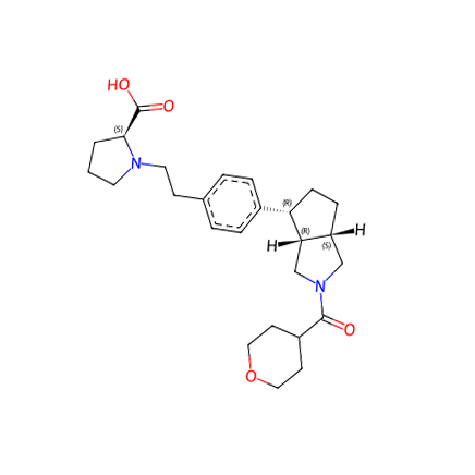 O=C(O)[C@@H]1CCCN1CCc1ccc([C@@H]2CC[C@@H]3CN(C(=O)C4CCOCC4)C[C@@H]32)cc1